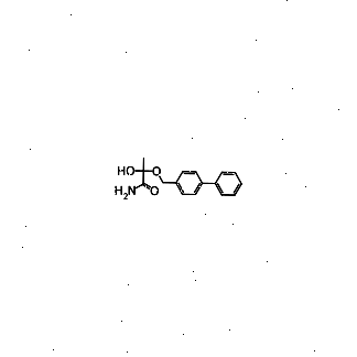 CC(O)(OCc1ccc(-c2ccccc2)cc1)C(N)=O